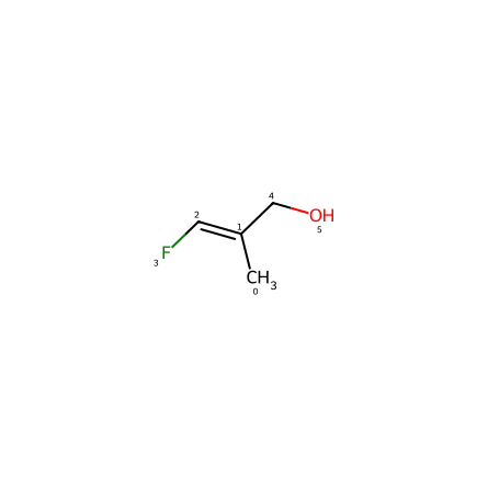 C/C(=C\F)CO